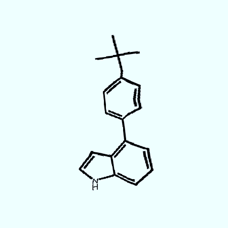 CC(C)(C)c1ccc(-c2cccc3[nH]ccc23)cc1